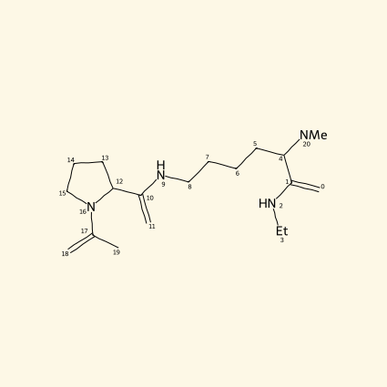 C=C(NCC)C(CCCCNC(=C)C1CCCN1C(=C)C)NC